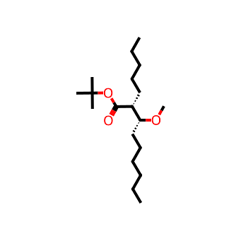 CCCCCC[C@@H](OC)[C@@H](CCCCC)C(=O)OC(C)(C)C